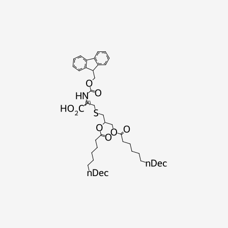 CCCCCCCCCCCCCCCC(=O)OCC(CSC[C@H](NC(=O)OCC1c2ccccc2-c2ccccc21)C(=O)O)OC(=O)CCCCCCCCCCCCCCC